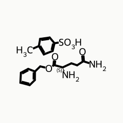 Cc1ccc(S(=O)(=O)O)cc1.NC(=O)CC[C@H](N)C(=O)OCc1ccccc1